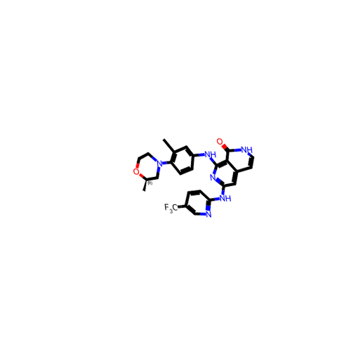 Cc1cc(Nc2nc(Nc3ccc(C(F)(F)F)cn3)cc3cc[nH]c(=O)c23)ccc1N1CCO[C@H](C)C1